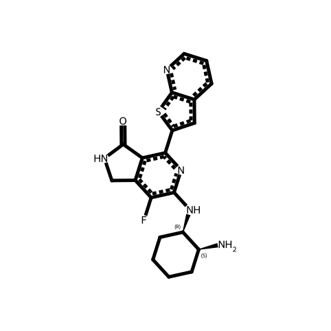 N[C@H]1CCCC[C@H]1Nc1nc(-c2cc3cccnc3s2)c2c(c1F)CNC2=O